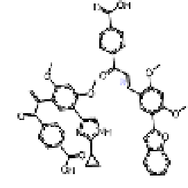 C=C(C(=O)c1ccc(C(=O)O)cc1)c1cc(-c2c[nH]c(C3CC3)n2)c(OC)cc1OC.COc1cc(OC)c(-c2cc3ccccc3o2)cc1/C=C/C(=O)c1ccc(C(=O)O)cc1